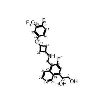 OC[C@@H](O)c1cc(F)c(CNC2CC(Oc3ccc(F)c(C(F)(F)F)c3)C2)c2ccncc12